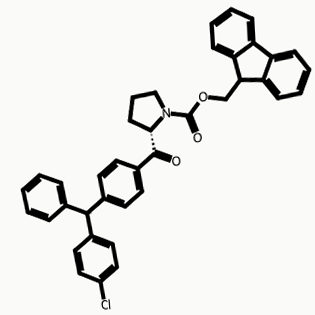 O=C(c1ccc([C](c2ccccc2)c2ccc(Cl)cc2)cc1)[C@@H]1CCCN1C(=O)OCC1c2ccccc2-c2ccccc21